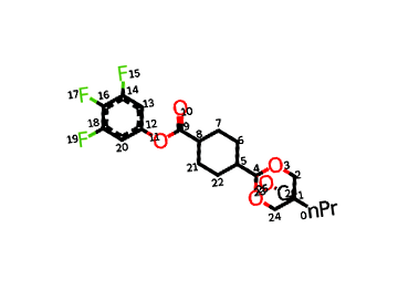 CCCC12COC(C3CCC(C(=O)Oc4cc(F)c(F)c(F)c4)CC3)(OC1)OC2